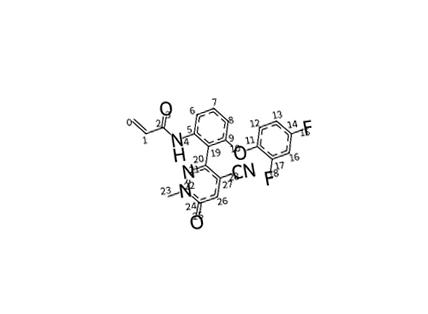 C=CC(=O)Nc1cccc(Oc2ccc(F)cc2F)c1-c1nn(C)c(=O)cc1C#N